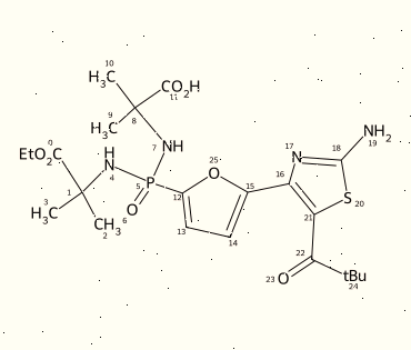 CCOC(=O)C(C)(C)NP(=O)(NC(C)(C)C(=O)O)c1ccc(-c2nc(N)sc2C(=O)C(C)(C)C)o1